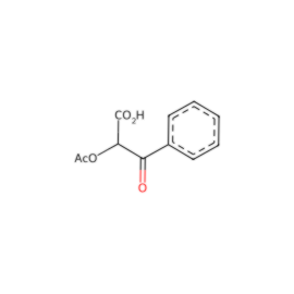 CC(=O)OC(C(=O)O)C(=O)c1ccccc1